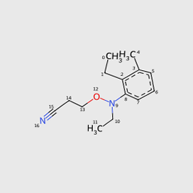 CCc1c(C)cccc1N(CC)OCCC#N